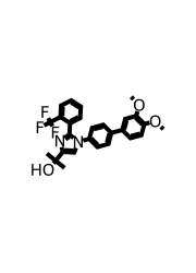 COc1ccc(-c2ccc(-n3cc(C(C)(C)O)nc3-c3ccccc3C(F)(F)F)cc2)cc1OC